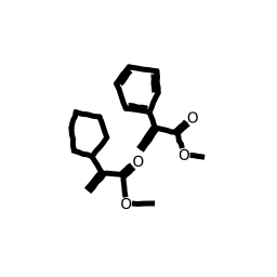 C=C(C(=O)OC)C1CCCCC1.C=C(C(=O)OC)c1ccccc1